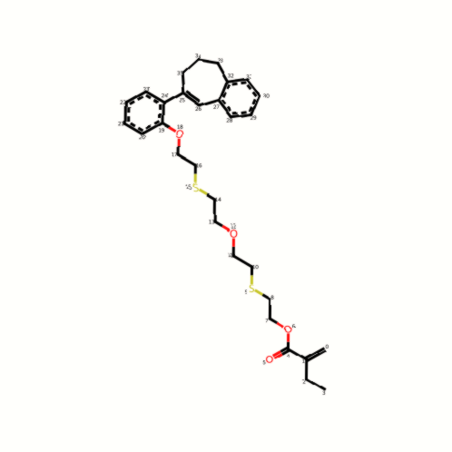 C=C(CC)C(=O)OCCSCCOCCSCCOc1ccccc1C1=Cc2ccccc2CCC1